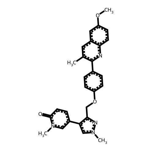 COc1ccc2nc(-c3ccc(OCc4nn(C)cc4-c4ccc(=O)n(C)c4)cc3)c(C)cc2c1